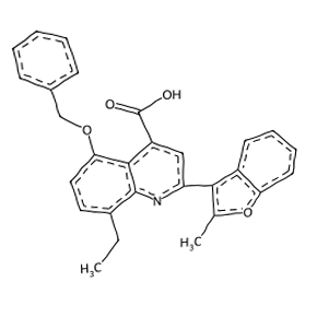 CCc1ccc(OCc2ccccc2)c2c(C(=O)O)cc(-c3c(C)oc4ccccc34)nc12